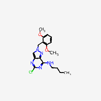 CCCCNc1nc(Cl)nc2cn(Cc3c(OC)cccc3OC)nc12